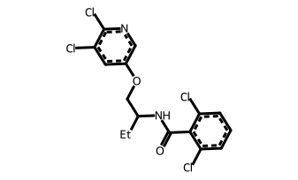 [CH2]CC(COc1cnc(Cl)c(Cl)c1)NC(=O)c1c(Cl)cccc1Cl